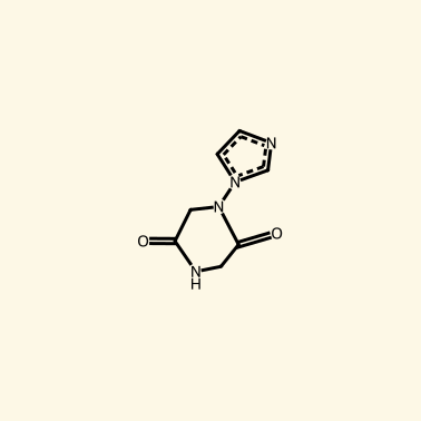 O=C1CN(n2ccnc2)C(=O)CN1